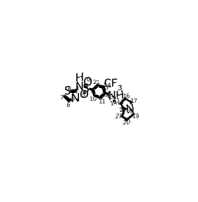 O=S(=O)(Nc1nccs1)c1ccc(NC[C@@H]2CCN3CCCC23)c(C(F)(F)F)c1